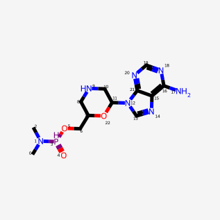 CN(C)[PH](=O)OCC1CNCC(n2cnc3c(N)ncnc32)O1